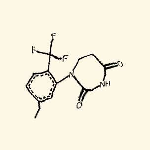 Cc1ccc(C(F)(F)F)c(N2CCC(=O)NC2=O)c1